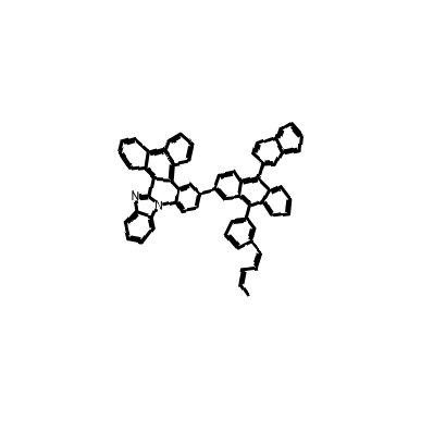 C/C=C\C=C/c1cccc(-c2c3ccccc3c(-c3ccc4ccccc4c3)c3ccc(-c4ccc5c(c4)c4c6ccccc6c6ccccc6c4c4nc6ccccc6n54)cc23)c1